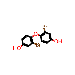 Oc1ccc(Oc2ccc(O)cc2Br)c(Br)c1